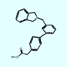 COC(=O)Cc1ccc(-c2cccc(CN3Cc4ccccc4C3)c2)cc1